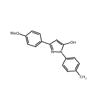 COc1ccc(-c2cc(O)n(-c3ccc(C)cc3)n2)cc1